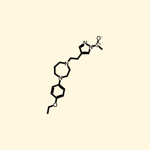 CCOc1ccc(N2CCCN(CCc3cnn([S+](C)[O-])c3)CC2)cc1